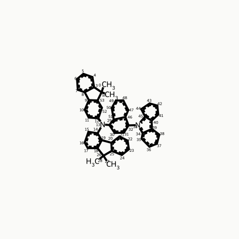 CC1(C)c2ccccc2-c2ccc(N(c3cccc4c3-c3ccccc3C4(C)C)c3ccc(-n4c5ccccc5c5ccccc54)c4ccccc34)cc21